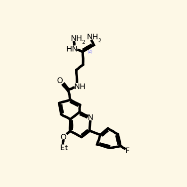 CCOc1cc(-c2ccc(F)cc2)nc2cc(C(=O)NCC/C(=C/N)NN)ccc12